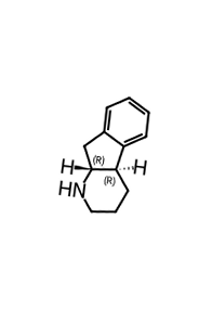 c1ccc2c(c1)C[C@H]1NCCC[C@H]21